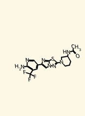 CC(=O)NC1CCCN(c2nn3cc(-c4cnc(N)c(C(F)(F)F)c4)nc3s2)C1